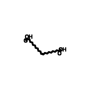 O=C(O)CCCCCCC/C=C\CCCCCCCCCC(=O)O